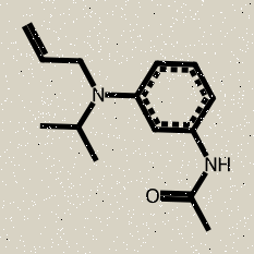 C=CCN(c1cccc(NC(C)=O)c1)C(C)C